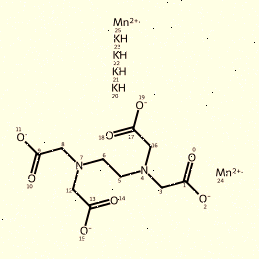 O=C([O-])CN(CCN(CC(=O)[O-])CC(=O)[O-])CC(=O)[O-].[KH].[KH].[KH].[KH].[Mn+2].[Mn+2]